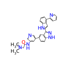 CN(C)CC(=O)Nc1cncc(-c2ccc3[nH]nc(-c4cc5c(-c6ccccn6)cccc5[nH]4)c3c2)c1